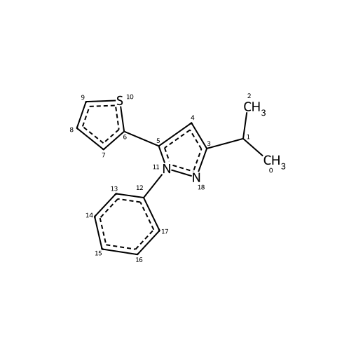 CC(C)c1cc(-c2cccs2)n(-c2ccccc2)n1